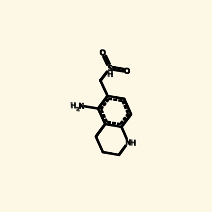 Nc1c(C[SH](=O)=O)ccc2c1CCCN2